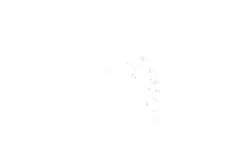 Cc1ccc(S(=O)(=O)NC(C)CN(CCCO)C(=O)OC(C)(C)C)cc1